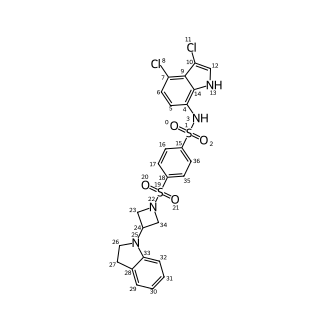 O=S(=O)(Nc1ccc(Cl)c2c(Cl)c[nH]c12)c1ccc(S(=O)(=O)N2CC(N3CCc4ccccc43)C2)cc1